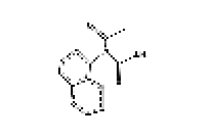 CC(=O)N(C(N)=S)c1cccc2ccccc12